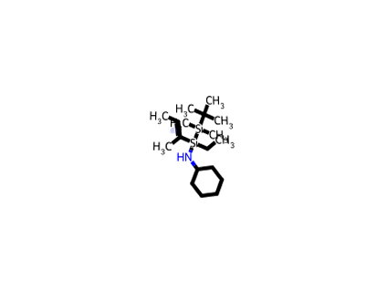 C/C=C(\C)[Si](CC)(NC1CCCCC1)[Si](C)(C)C(C)(C)C